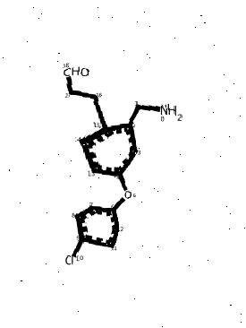 NCc1cc(Oc2ccc(Cl)cc2)ccc1CCC=O